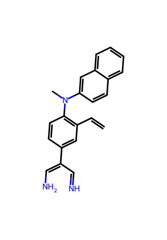 C=Cc1cc(/C(C=N)=C/N)ccc1N(C)c1ccc2ccccc2c1